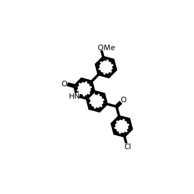 COc1cccc(-c2cc(=O)[nH]c3ccc(C(=O)c4ccc(Cl)cc4)cc23)c1